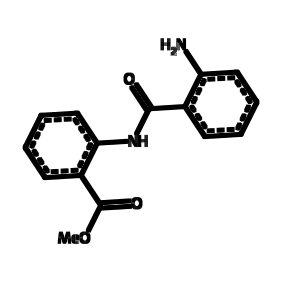 COC(=O)c1ccccc1NC(=O)c1ccccc1N